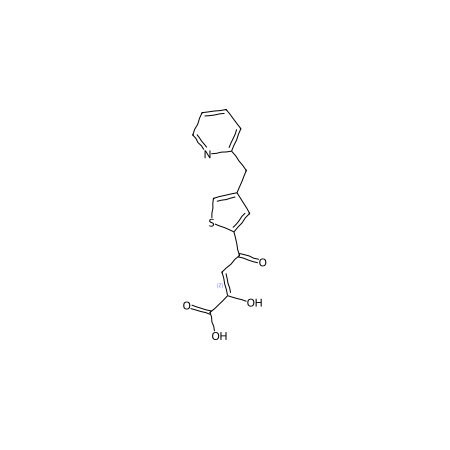 O=C(O)/C(O)=C/C(=O)c1cc(Cc2ccccn2)cs1